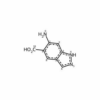 Nc1cc2[nH]ncc2cc1C(=O)O